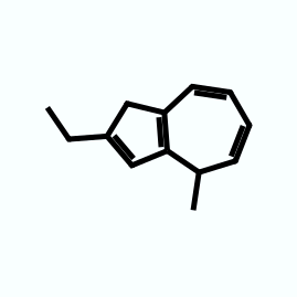 CCC1=CC2=C(C=CC=CC2C)C1